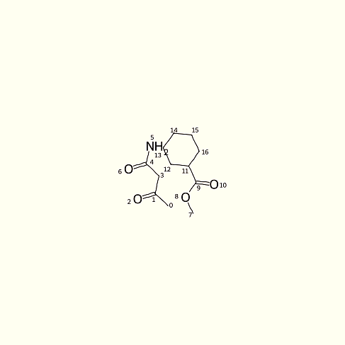 CC(=O)CC(N)=O.COC(=O)C1CCCCC1